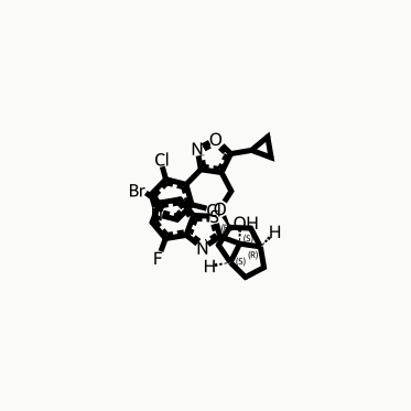 O[C@]1(c2nc3c(F)cc(Br)cc3s2)[C@@H]2CC[C@H]1C[C@@H](OCc1c(-c3c(Cl)cncc3Cl)noc1C1CC1)C2